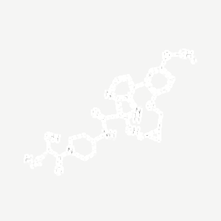 COc1ccc(OCC2CC2)c(-c2ccnc3c(C(=O)NC4CCN(C(=O)[C@H](C)O)CC4)c(C)[nH]c23)c1